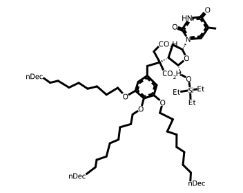 CCCCCCCCCCCCCCCCCCOc1cc(CC(CC(=O)O)(C(=O)O)[C@@H]2C[C@H](n3cc(C)c(=O)[nH]c3=O)O[C@@H]2CO[Si](CC)(CC)CC)cc(OCCCCCCCCCCCCCCCCCC)c1OCCCCCCCCCCCCCCCCCC